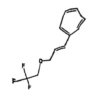 FC(F)(F)COCC=Cc1ccccc1